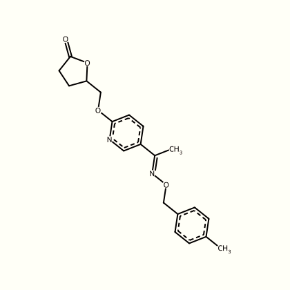 C/C(=N\OCc1ccc(C)cc1)c1ccc(OCC2CCC(=O)O2)nc1